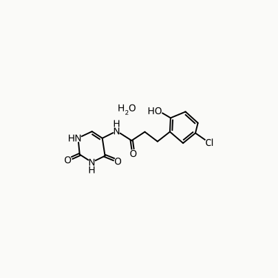 O.O=C(CCc1cc(Cl)ccc1O)Nc1c[nH]c(=O)[nH]c1=O